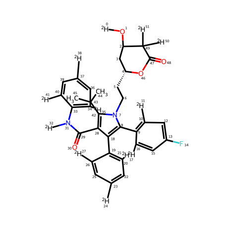 [2H]OC1C[C@@H](CCn2c(-c3c([2H])cc(F)cc3[2H])c(-c3c([2H])cc([2H])cc3[2H])c(C(=O)N([2H])c3c([2H])cc([2H])cc3[2H])c2C(C)C)OC(=O)C1([2H])[2H]